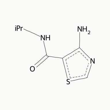 CC(C)NC(=O)c1scnc1N